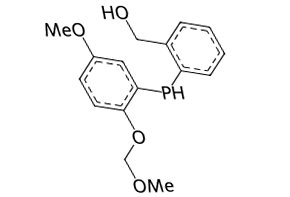 COCOc1ccc(OC)cc1Pc1ccccc1CO